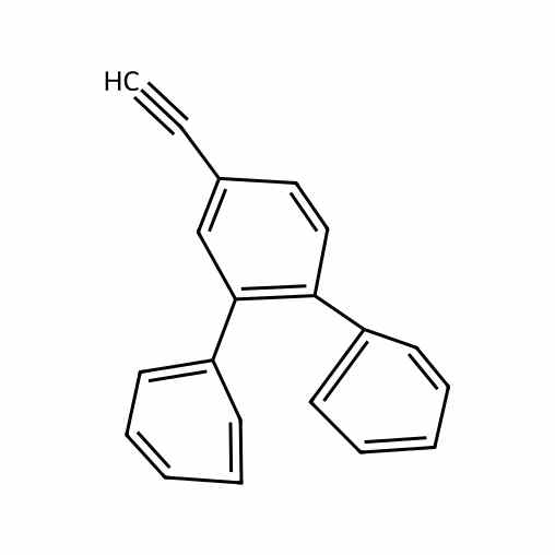 C#Cc1ccc(-c2ccccc2)c(-c2ccccc2)c1